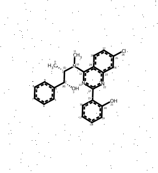 C[C@@H]([C@H](O)c1ccccc1)N(C)c1nc(-c2ccccc2O)nc2cc(Cl)ccc12